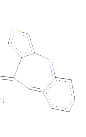 N#CC=C1C=c2ccccc2=Nc2cscc21